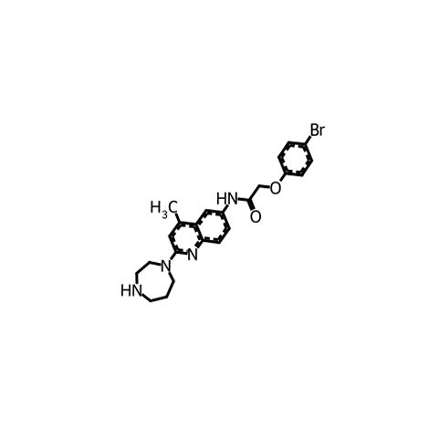 Cc1cc(N2CCCNCC2)nc2ccc(NC(=O)COc3ccc(Br)cc3)cc12